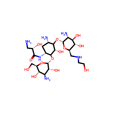 NC[C@H](O)C(=O)N[C@@H]1C[C@H](N)C(O[C@H]2O[C@H](CNCCO)[C@@H](O)[C@H](O)[C@H]2N)[C@H](O)[C@H]1O[C@H]1O[C@H](CO)[C@@H](O)[C@H](N)[C@H]1O